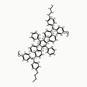 CCCCc1ccc(N(c2ccc(OC)cc2)c2ccc3c4c(-c5ccccc5)c5c6cccc7c(N(c8ccc(CCCC)cc8)c8ccc(OC)cc8)ccc(c5c(-c5ccccc5)c4c4cccc2c43)c76)cc1